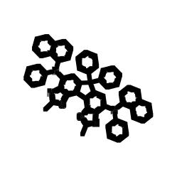 Cc1nc2c(N(c3ccccc3)c3cccc4ccccc34)cc3c(c2o1)-c1c(cc(N(c2ccccc2)c2cccc4ccccc24)c2nc(C)oc12)C3(c1ccccc1)c1ccccc1